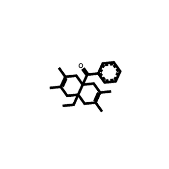 CCC12CC(C)=C(C)CC1(C(=O)c1ccccc1)CC(C)=C(C)C2